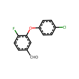 O=Cc1ccc(F)c(Oc2ccc(Cl)cc2)c1